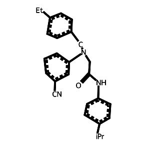 CCc1ccc(CN(CC(=O)Nc2ccc(C(C)C)cc2)c2cccc(C#N)c2)cc1